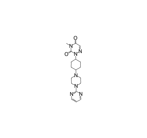 Cn1c(=O)cnn(C2CCC(N3CCN(c4ncccn4)CC3)CC2)c1=O